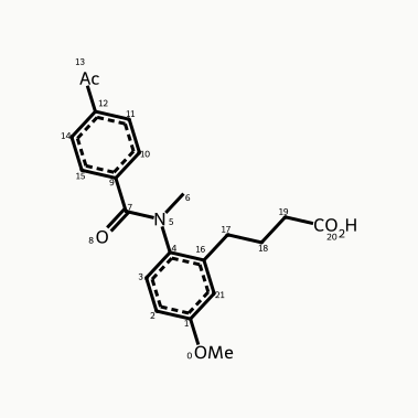 COc1ccc(N(C)C(=O)c2ccc(C(C)=O)cc2)c(CCCC(=O)O)c1